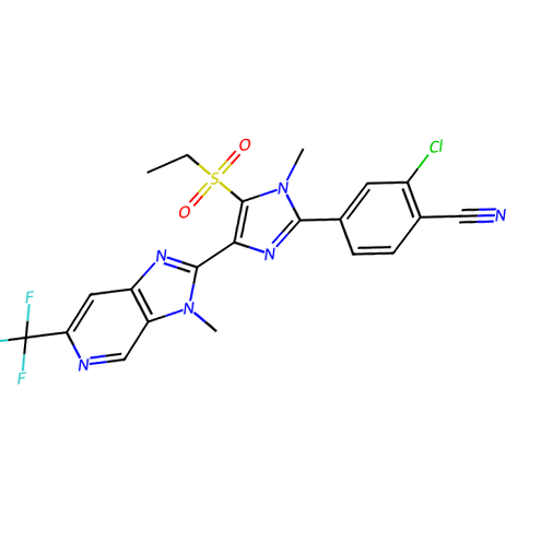 CCS(=O)(=O)c1c(-c2nc3cc(C(F)(F)F)ncc3n2C)nc(-c2ccc(C#N)c(Cl)c2)n1C